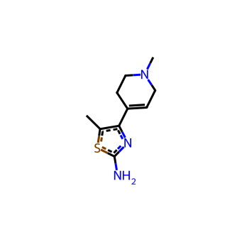 Cc1sc(N)nc1C1=CCN(C)CC1